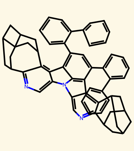 c1ccc(-c2ccccc2-c2cc(-c3ccccc3-c3ccccc3)c3c4c5c(ncc4n4c6cnc7c(c6c2c34)C2CC3CC(CC7C3)C2)C2CC3CC4CC5CC34C2)cc1